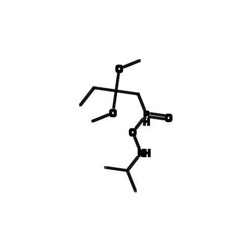 CCC(C[PH](=O)ONC(C)C)(OC)OC